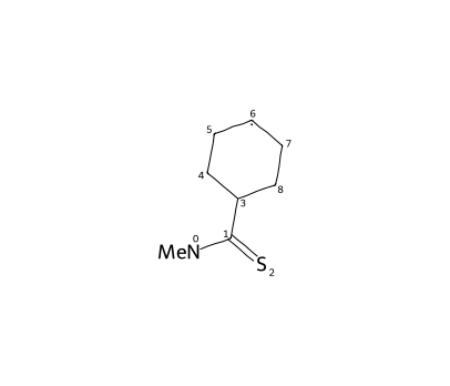 CNC(=S)C1CC[CH]CC1